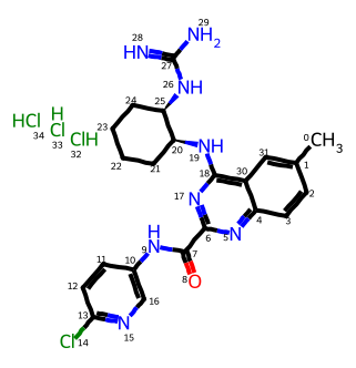 Cc1ccc2nc(C(=O)Nc3ccc(Cl)nc3)nc(N[C@H]3CCCC[C@H]3NC(=N)N)c2c1.Cl.Cl.Cl